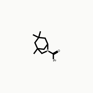 CC(C)C(=O)N1CC2(C)CC1CC(C)(C)C2